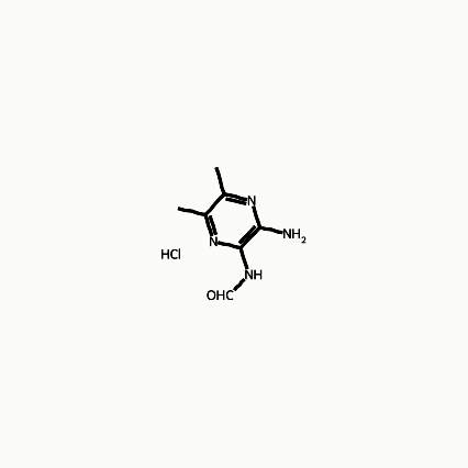 Cc1nc(N)c(NC=O)nc1C.Cl